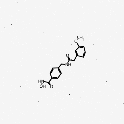 COc1cccc(CC(=O)NCc2ccc(C(=O)NO)cc2)c1